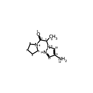 CC(C(=O)N1CCCC1)n1cc(N)cn1